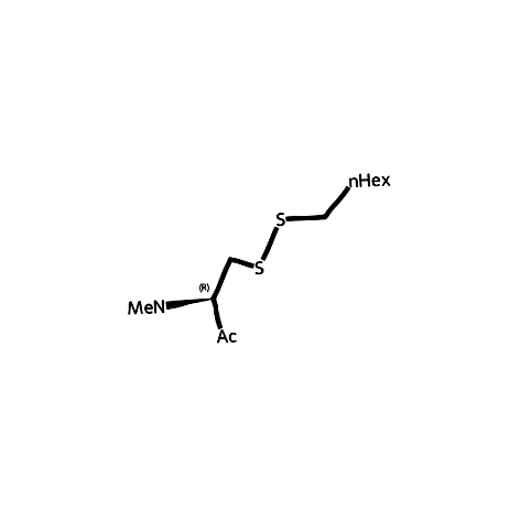 CCCCCCCSSC[C@H](NC)C(C)=O